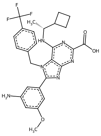 COc1cc(N)cc(-c2nc3nc(C(=O)O)nc(N[C@H](C)C4CCC4)c3n2Cc2ccc(C(F)(F)F)cc2)c1